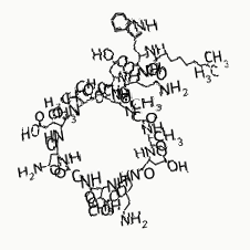 COC(C(=O)O)C1NC(=O)C(CCCCN)NC(=O)C(CC(=O)O)NC(=O)C(C)NC(=O)CN(C)C(=O)C(NC(=O)C(CC(=O)O)NC(=O)C(CC(N)=O)NC(=O)C(Cc2c[nH]c3ccccc23)NC(=O)CCCCCCC(C)C)C(C)OC(=O)C(C(C)C)NC(=O)C(C(C)CC(=O)O)NC(=O)C(CC(N)=O)NC(=O)CNC1=O